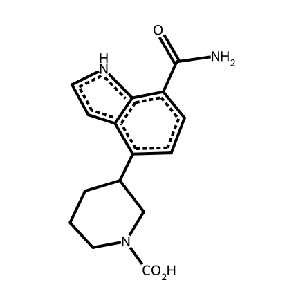 NC(=O)c1ccc(C2CCCN(C(=O)O)C2)c2cc[nH]c12